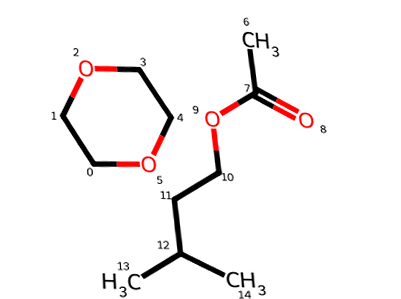 C1COCCO1.CC(=O)OCCC(C)C